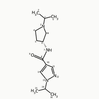 CC(C)N1CC[C@@H](NC(=O)c2cnn(C(C)C)c2)C1